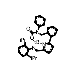 CC(C)c1cccc(C(C)C)c1N=Cc1cccc(-c2ccccc2CN(C(=O)OC(C)(C)C)c2ccccc2)n1